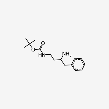 CC(C)(C)OC(=O)NCCC(N)Cc1ccccc1